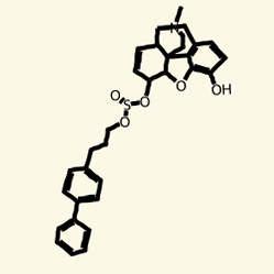 CN1CCC23c4c5ccc(O)c4OC2C(OS(=O)OCCCc2ccc(-c4ccccc4)cc2)C=CC3C1C5